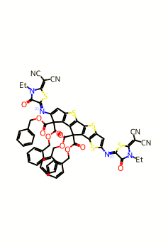 CCN1C(=O)/C(=N/C2=Cc3sc4c(c3C2(C(=O)OCc2ccccc2)C(=O)OCc2ccccc2)C(C(=O)OCc2ccccc2)(C(=O)OCc2ccccc2)c2c-4sc3cc(/N=C4\SC(=C(C#N)C#N)N(CC)C4=O)sc23)SC1=C(C#N)C#N